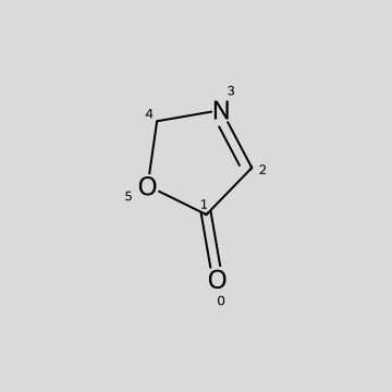 O=C1C=NCO1